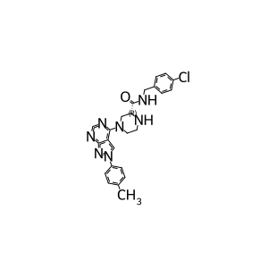 Cc1ccc(-n2cc3c(N4CCN[C@@H](C(=O)NCc5ccc(Cl)cc5)C4)ncnc3n2)cc1